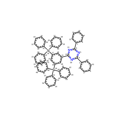 c1ccc(-c2nc(-c3ccccc3)nc(-c3cc([Si](c4ccccc4)(c4ccccc4)c4ccccc4)cc([Si](c4ccccc4)(c4ccccc4)c4ccccc4)c3)n2)cc1